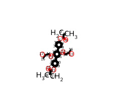 C=C(C)C(=O)Oc1ccc(-c2cc(OCC3CO3)c(-c3ccc(OC(=O)C(=C)C)cc3)cc2OCC2CO2)cc1